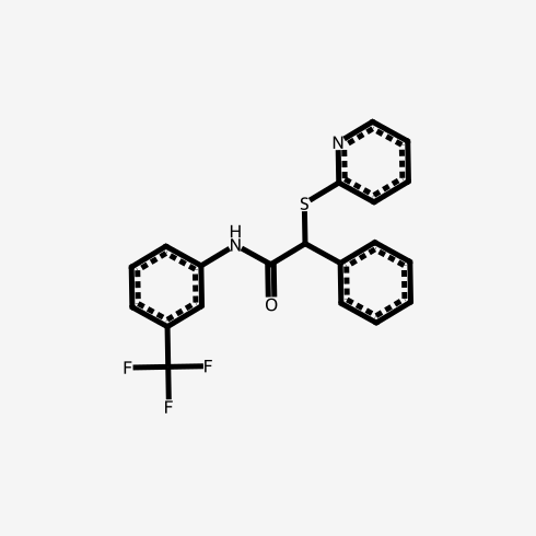 O=C(Nc1cccc(C(F)(F)F)c1)C(Sc1ccccn1)c1ccccc1